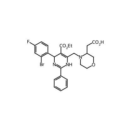 CCOC(=O)C1=C(CN2CCOCC2CC(=O)O)NC(c2ccccc2)=NC1c1ccc(F)cc1Br